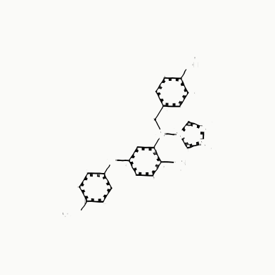 COc1ccc(Oc2ccc(C#N)c(N(Cc3ccc(O)cc3)n3cnnc3)c2)cc1